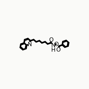 O=C(CCCCCCc1ccc2ccccc2n1)NOC(=O)c1ccccc1